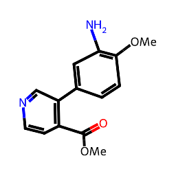 COC(=O)c1ccncc1-c1ccc(OC)c(N)c1